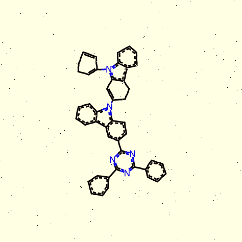 C1=CC(n2c3c(c4ccccc42)CCC(n2c4ccccc4c4cc(-c5nc(-c6ccccc6)nc(-c6ccccc6)n5)ccc42)=C3)=CCC1